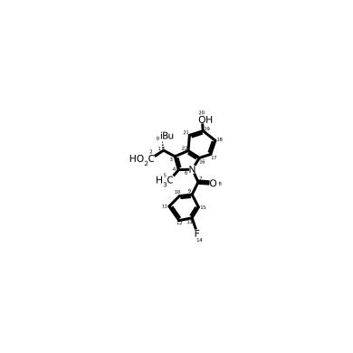 CC[C@@H](C)C(C(=O)O)c1c(C)n(C(=O)c2cccc(F)c2)c2ccc(O)cc12